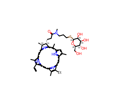 C=Cc1c(C)c2cc3nc(c(C)c4cc(C)c(cc5nc(cc1[nH]2)C(C)=C5CC)[nH]4)[C@@H](CCC(=O)N(C)CCCS[C@@H]1O[C@H](CO)[C@@H](O)[C@H](O)[C@@H]1O)[C@@H]3C